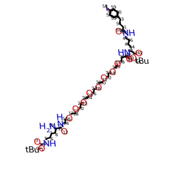 CC(C)(C)OC(=O)NCCCC[C@H](N)C(=O)NCCOCCOCCOCCOCCOCCOCCOCCOCCC(=O)N[C@@H](CCCCNC(=O)CCCc1ccc(I)cc1)C(=O)OC(C)(C)C